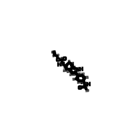 C=CCOC(=O)Nc1cnc2[nH]c(-c3ccc(NC(C)=O)cc3)cc2c1